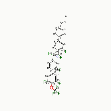 CCCC1=CC=C(c2ccc(/C(F)=C(\F)c3ccc(-c4cc(F)c(OC(F)(F)F)c(F)c4)c(F)c3)c(F)c2)CC1